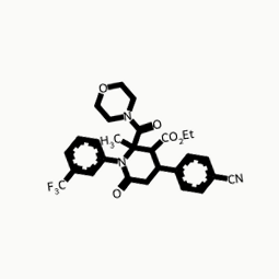 CCOC(=O)C1C(c2ccc(C#N)cc2)CC(=O)N(c2cccc(C(F)(F)F)c2)C1(C)C(=O)N1CCOCC1